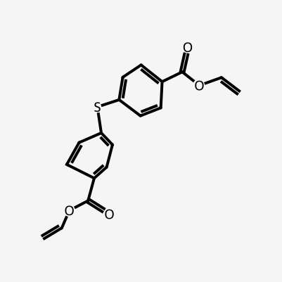 C=COC(=O)c1ccc(Sc2ccc(C(=O)OC=C)cc2)cc1